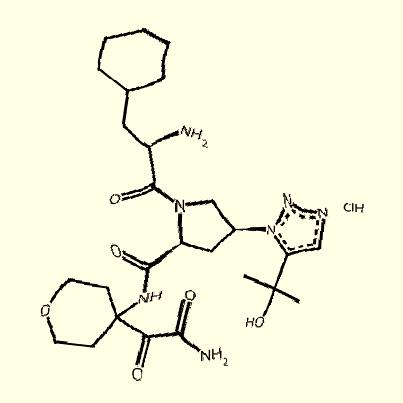 CC(C)(O)c1cnnn1[C@H]1C[C@@H](C(=O)NC2(C(=O)C(N)=O)CCOCC2)N(C(=O)[C@H](N)CC2CCCCC2)C1.Cl